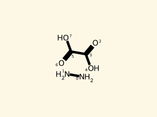 NN.O=C(O)C(=O)O